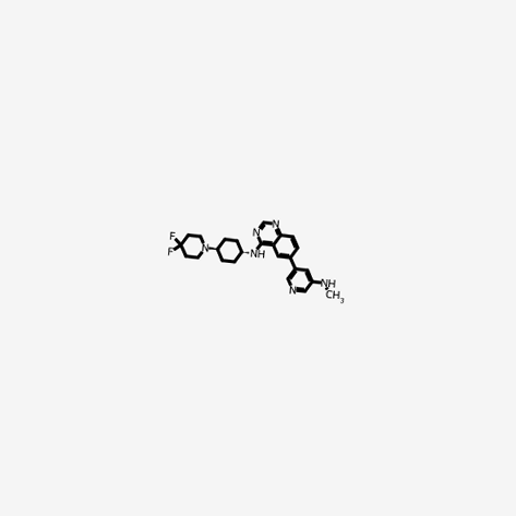 CNc1cncc(-c2ccc3ncnc(N[C@H]4CC[C@H](N5CCC(F)(F)CC5)CC4)c3c2)c1